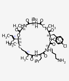 C/C=C(\C)[C@H]1OC(=O)[C@@H](C)NC(=O)[C@H](C(C)CC)NC(=O)CN(C)C(=O)[C@@H](Cc2ccc(Cl)cc2)N(C)C(=O)[C@H](CCCCN)NC(=O)[C@@H](CC(C)C)NC(=O)/C(C)=C/CC[C@@H]1C